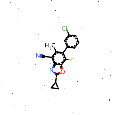 Cc1c(-c2cccc(Cl)c2)c(F)c2oc(C3CC3)nc2c1C#N